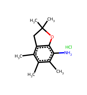 Cc1c(C)c(N)c2c(c1C)CC(C)(C)O2.Cl